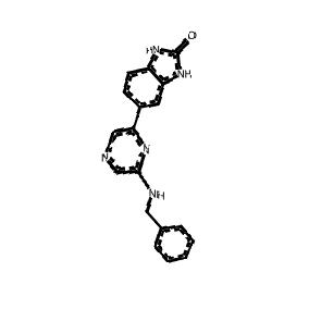 O=c1[nH]c2ccc(-c3cncc(NCc4ccccc4)n3)cc2[nH]1